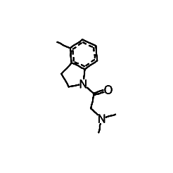 Cc1cccc2c1CCN2C(=O)CN(C)C